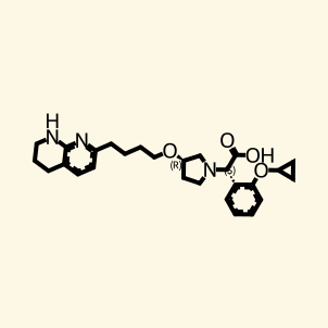 O=C(O)[C@H](c1ccccc1OC1CC1)N1CC[C@@H](OCCCCc2ccc3c(n2)NCCC3)C1